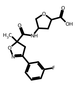 CC1(C(=O)NC2COC(C(=O)O)C2)CC(c2cccc(F)c2)=NO1